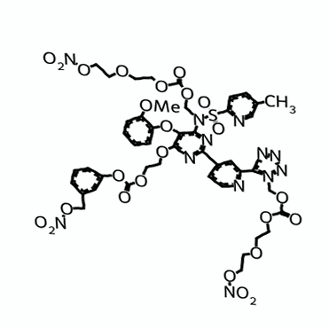 COc1ccccc1Oc1c(OCCOC(=O)Oc2cccc(CO[N+](=O)[O-])c2)nc(-c2ccnc(-c3nnnn3COC(=O)OCCOCCO[N+](=O)[O-])c2)nc1N(COC(=O)OCCOCCO[N+](=O)[O-])S(=O)(=O)c1ccc(C)cn1